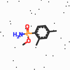 COP(N)(=O)c1ccc(C)cc1C